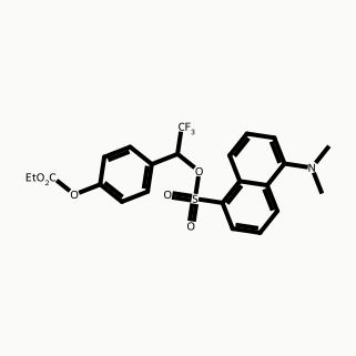 CCOC(=O)Oc1ccc(C(OS(=O)(=O)c2cccc3c(N(C)C)cccc23)C(F)(F)F)cc1